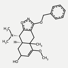 COC1=CC(O)C[C@H]2[C@H](N(C)C)c3onc(OCc4ccccc4)c3CC12C